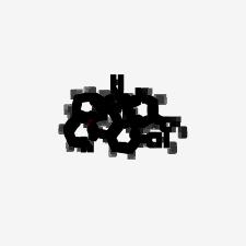 Cc1ccc(-c2ncccn2)c(C(=O)N2C3CCC2C(Nc2ncc(C(F)(F)F)cn2)C3)n1